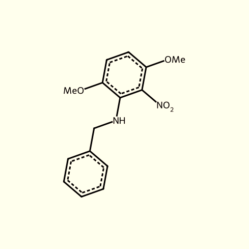 COc1ccc(OC)c([N+](=O)[O-])c1NCc1ccccc1